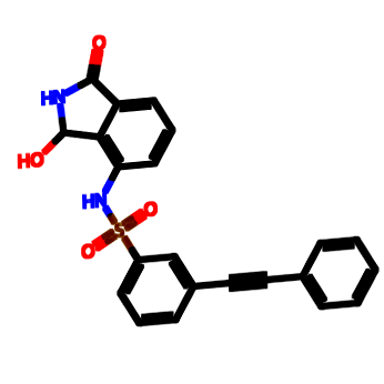 O=C1NC(O)c2c(NS(=O)(=O)c3cccc(C#Cc4ccccc4)c3)cccc21